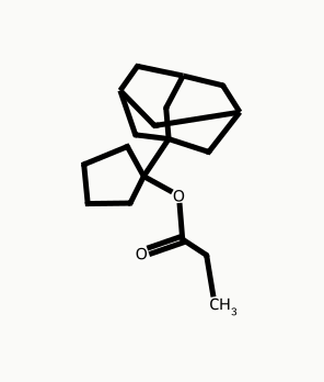 CCC(=O)OC1(C23CC4CC(CC(C4)C2)C3)CCCC1